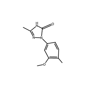 COc1cc(-n2nc(C)[nH]c2=O)ccc1C